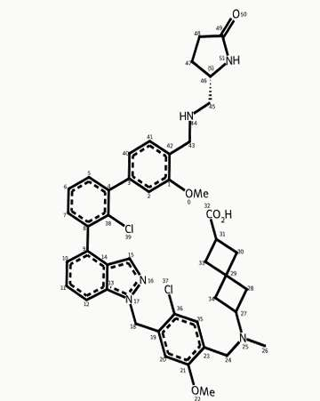 COc1cc(-c2cccc(-c3cccc4c3cnn4Cc3cc(OC)c(CN(C)C4CC5(CC(C(=O)O)C5)C4)cc3Cl)c2Cl)ccc1CNC[C@@H]1CCC(=O)N1